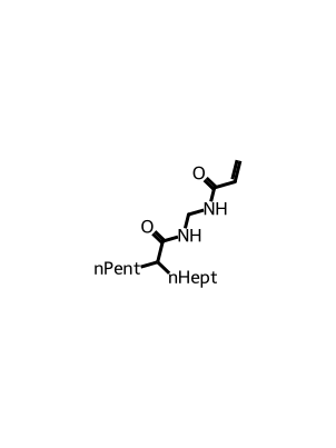 C=CC(=O)NCNC(=O)C(CCCCC)CCCCCCC